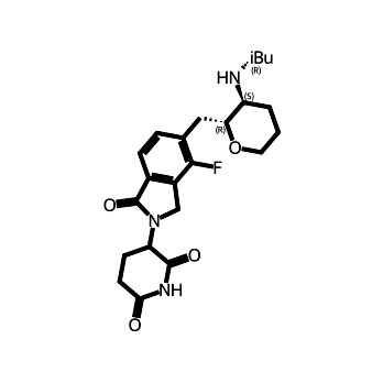 CC[C@@H](C)N[C@H]1CCCO[C@@H]1Cc1ccc2c(c1F)CN(C1CCC(=O)NC1=O)C2=O